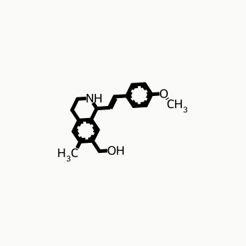 COc1ccc(/C=C/C2NCCc3cc(C)c(CO)cc32)cc1